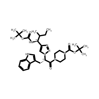 CCC(C)[C@H](NC(=O)OC(C)(C)C)c1cn([C@@H](Cc2c[nH]c3ccccc23)C(=O)N2CCN(C(=O)OC(C)(C)C)CC2)nn1